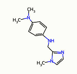 CN(C)c1ccc(NCc2nccn2C)cc1